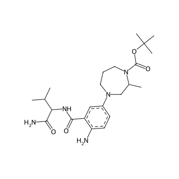 CC(C)C(NC(=O)c1cc(N2CCCN(C(=O)OC(C)(C)C)C(C)C2)ccc1N)C(N)=O